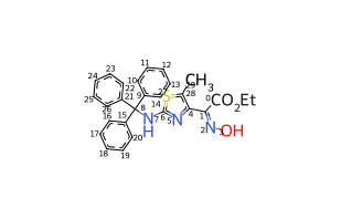 CCOC(=O)/C(=N\O)c1nc(NC(c2ccccc2)(c2ccccc2)c2ccccc2)sc1C